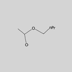 CCCCOC(C)[O]